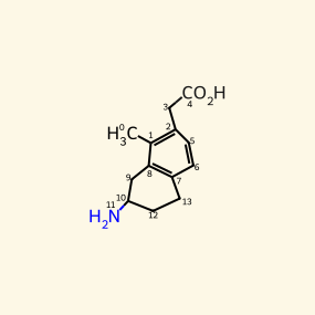 Cc1c(CC(=O)O)ccc2c1CC(N)CC2